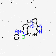 CNc1cc(-c2cccnc2Nc2c(C)ccc3c(Nc4ccccc4Cl)nccc23)ncn1